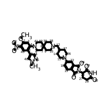 COc1cc(N2CCC3(CCN(CC4CCN(c5ccc6c(c5)C(=O)N(C5CCC(=O)NC5=O)C6=O)CC4)CC3)CC2)c(-c2cnn(C)c2)cc1[N+](=O)[O-]